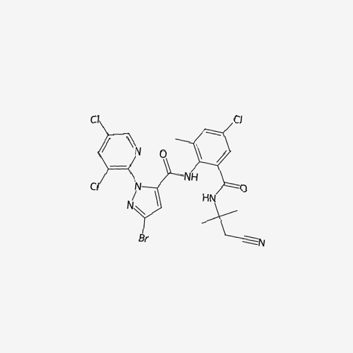 Cc1cc(Cl)cc(C(=O)NC(C)(C)CC#N)c1NC(=O)c1cc(Br)nn1-c1ncc(Cl)cc1Cl